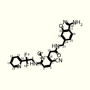 N#Cc1ccc(NCC(F)(F)c2ccccn2)[n+]([O-])c1CC(=O)NCc1ccc2c(N)noc2c1